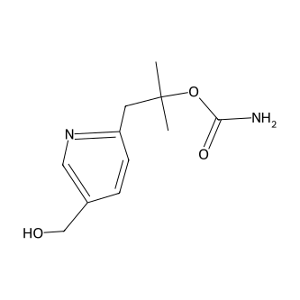 CC(C)(Cc1ccc(CO)cn1)OC(N)=O